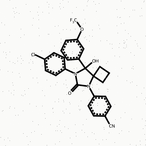 N#Cc1ccc(N2C(=O)N(c3ccc(Cl)cc3)C(O)(c3cccc(OC(F)(F)F)c3)C23CCC3)cc1